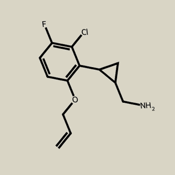 C=CCOc1ccc(F)c(Cl)c1C1CC1CN